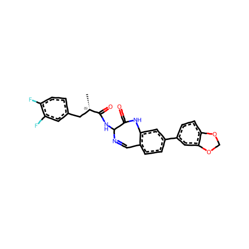 C[C@@H](Cc1ccc(F)c(F)c1)C(=O)NC1N=Cc2ccc(-c3ccc4c(c3)OCO4)cc2NC1=O